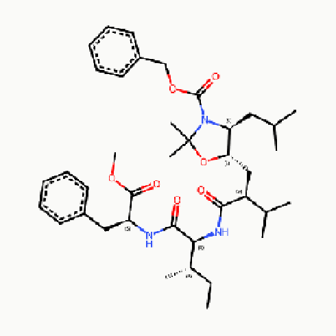 CC[C@H](C)[C@H](NC(=O)[C@@H](C[C@@H]1OC(C)(C)N(C(=O)OCc2ccccc2)[C@H]1CC(C)C)C(C)C)C(=O)N[C@@H](Cc1ccccc1)C(=O)OC